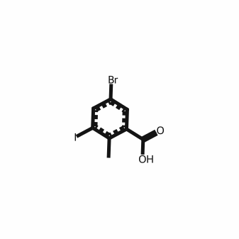 Cc1c(I)cc(Br)cc1C(=O)O